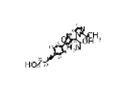 CC(O)c1nccn1C(CN)c1cc(-c2ccc(C#CCCCO)cc2)on1